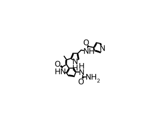 C/C(=C1\C(=O)Nc2ccc(NC(N)=O)cc21)c1cc(CNC(=O)c2ccncc2)c[nH]1